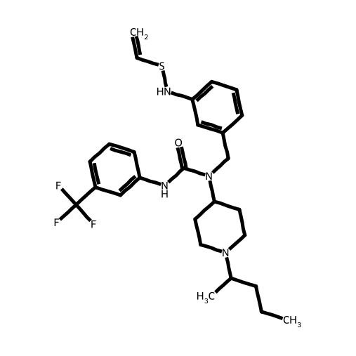 C=CSNc1cccc(CN(C(=O)Nc2cccc(C(F)(F)F)c2)C2CCN(C(C)CCC)CC2)c1